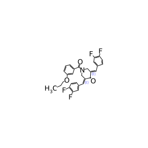 CCCOc1cccc(C(=O)N2C/C(=C\c3ccc(F)c(F)c3)C(=O)/C(=C/c3ccc(F)c(F)c3)C2)c1